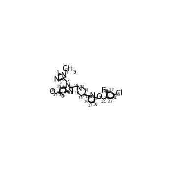 CCn1cncc1Cn1c(CN2CCC(c3cccc(OCc4ccc(Cl)cc4F)n3)CC2)nc2sc(C=O)cc21